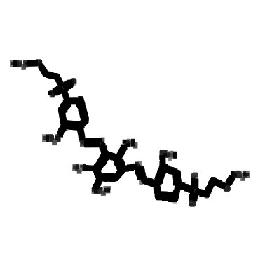 Nc1c(/N=N/c2ccc(S(=O)(=O)CCOS(=O)(=O)O)cc2S(=O)(=O)O)cc(S(=O)(=O)O)c(N)c1/N=N/c1ccc(S(=O)(=O)CCOS(=O)(=O)O)cc1S(=O)(=O)O